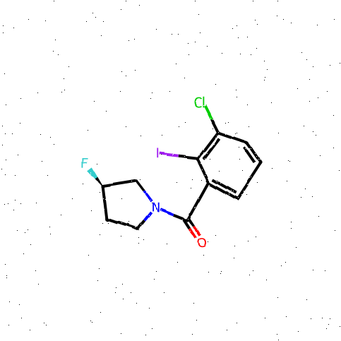 O=C(c1cccc(Cl)c1I)N1CC[C@@H](F)C1